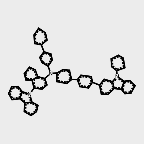 c1ccc(-c2ccc(N(c3ccc(-c4ccc(-c5ccc6c7ccccc7n(-c7ccccc7)c6c5)cc4)cc3)c3ccc(-n4c5ccccc5c5ccccc54)c4ccccc34)cc2)cc1